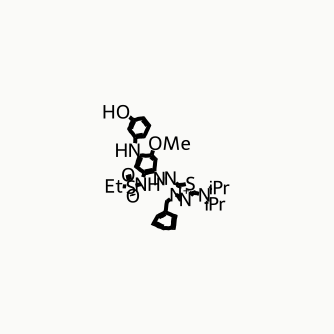 CCS(=O)(=O)Nc1cc(Nc2cccc(O)c2)c(OC)cc1N=Nc1sc(N(C(C)C)C(C)C)n[n+]1Cc1ccccc1